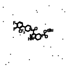 CC(C)(C)OC(=O)N1CCc2[nH]nc(C(=O)N3CCC(c4ccc(F)c(F)c4C(F)(F)F)CC3)c2C1